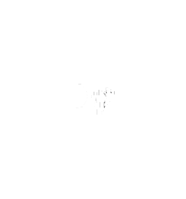 CC(C)OC(C)C.CCCCCC.CCOCC